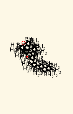 Bc1c(B)c(-c2c(B)c(B)c(-c3c4c(B)c(B)c(B)c(B)c4c(-c4c(B)c(B)c(B)c5oc6c(B)c(B)c(B)c(B)c6c45)c4c(B)c(B)c(B)c(B)c34)c(B)c2B)c(B)c(-c2c(B)c(B)c3c(c2B)c(B)c(B)c2c(B)c(B)c(B)c(B)c23)c1B